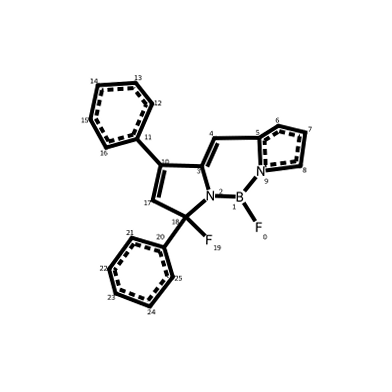 FB1N2C(=Cc3cccn31)C(c1ccccc1)=CC2(F)c1ccccc1